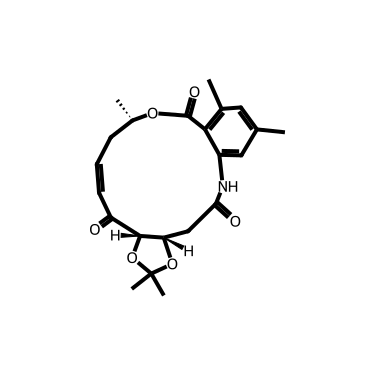 Cc1cc(C)c2c(c1)NC(=O)C[C@@H]1OC(C)(C)O[C@@H]1C(=O)/C=C\C[C@H](C)OC2=O